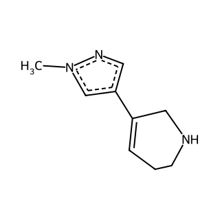 Cn1cc(C2=CCCNC2)cn1